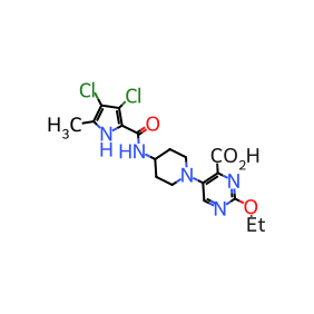 CCOc1ncc(N2CCC(NC(=O)c3[nH]c(C)c(Cl)c3Cl)CC2)c(C(=O)O)n1